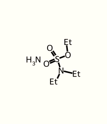 CCOS(=O)(=O)N(CC)CC.N